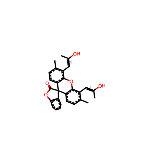 C/C(O)=C\c1c(C)ccc2c1Oc1c(ccc(C)c1/C=C(\C)O)C21C(=O)Oc2ccccc21